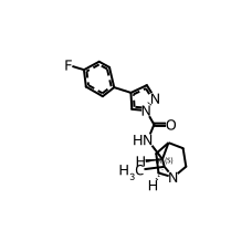 C[C@H]1[C@H](NC(=O)n2cc(-c3ccc(F)cc3)cn2)C2CCN1CC2